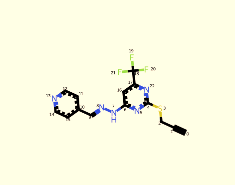 C#CCSc1nc(N/N=C/c2ccncc2)cc(C(F)(F)F)n1